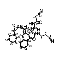 N#CCCNC(=O)C(CNC(=O)CC#N)(NC(=O)NC1CC1c1ccccc1)c1ccc2ccccc2c1